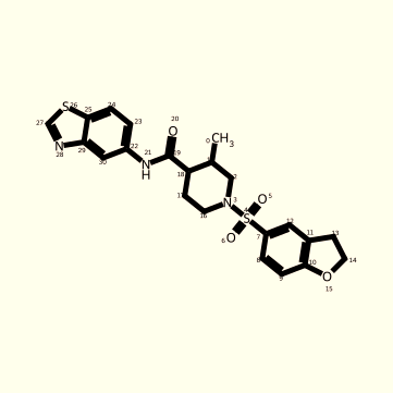 CC1CN(S(=O)(=O)c2ccc3c(c2)CCO3)CCC1C(=O)Nc1ccc2scnc2c1